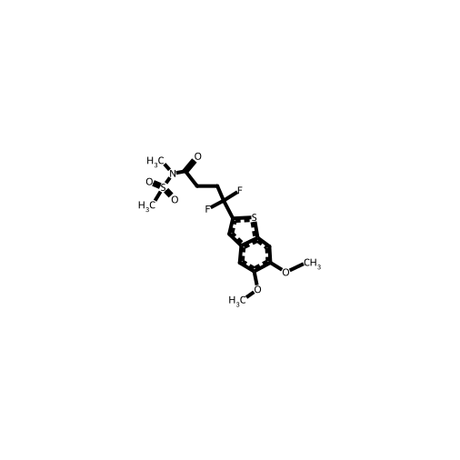 COc1cc2cc(C(F)(F)CCC(=O)N(C)S(C)(=O)=O)sc2cc1OC